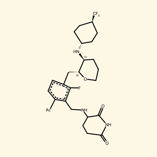 CC(=O)c1ccc(C[C@H]2OCCC[C@@H]2N[C@H]2CC[C@H](C(F)(F)F)CC2)c(F)c1CNC1CCC(=O)NC1=O